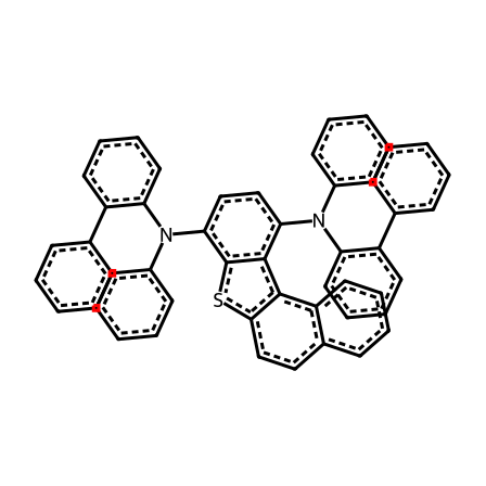 c1ccc(-c2ccccc2N(c2ccccc2)c2ccc(N(c3ccccc3)c3ccccc3-c3ccccc3)c3c2sc2ccc4ccccc4c23)cc1